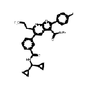 CNC(=O)c1c(-c2ccc(F)cc2)oc2nc(CCC(F)(F)F)c(-c3cccc(C(=O)NC(C4CC4)C4CC4)c3)cc12